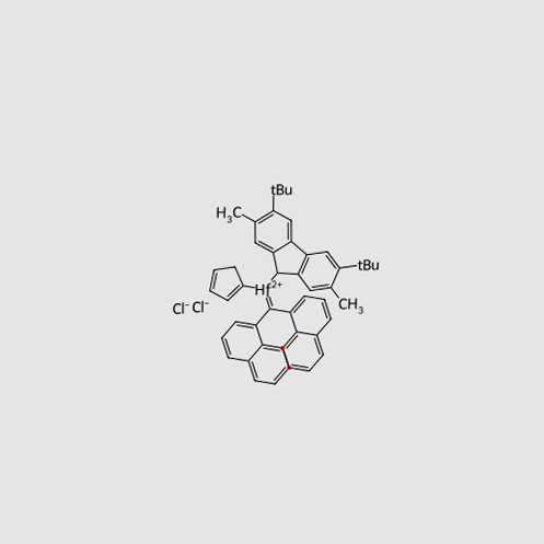 Cc1cc2c(cc1C(C)(C)C)-c1cc(C(C)(C)C)c(C)cc1[CH]2[Hf+2]([C]1=CC=CC1)=[C](c1cccc2ccccc12)c1cccc2ccccc12.[Cl-].[Cl-]